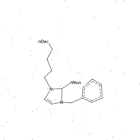 CCCCCCCCCCCCCCN1C=CN(Cc2ccccc2)C1CCCCCCCCC